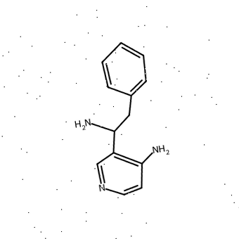 Nc1ccncc1C(N)Cc1ccccc1